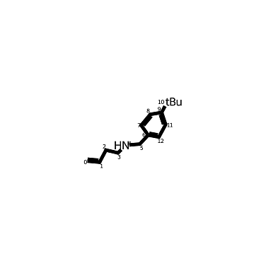 C=CCCNCc1ccc(C(C)(C)C)cc1